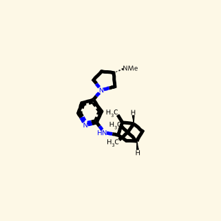 CN[C@H]1CCN(c2ccnc(NC3C[C@H]4C[C@@H](C3C)C4(C)C)c2)C1